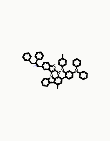 Cc1ccc(N2B3c4sc5ccc(/C=C(/Cc6ccccc6)c6ccccc6)cc5c4-n4c5ccccc5c5c(C)cc(c3c54)-c3ccc(N(c4ccccc4)c4ccccc4)cc32)cc1